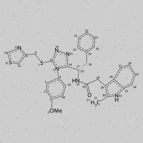 COc1ccc(-n2c(SCc3cscn3)nnc2[C@H](Cc2ccccc2)NC(=O)Cc2c(C)[nH]c3ccccc23)cc1